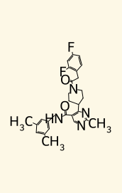 Cc1cc(C)cc(CNC(=O)c2cnc(C)nc2C2CCN(C(=O)Cc3ccc(F)cc3F)CC2)c1